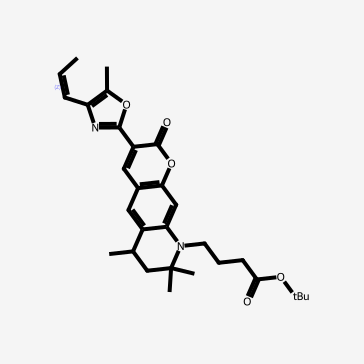 C/C=C\c1nc(-c2cc3cc4c(cc3oc2=O)N(CCCC(=O)OC(C)(C)C)C(C)(C)CC4C)oc1C